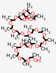 CC(O)COC(C)COC(C)COC(C)COC(C)COC(C)COC(C)COC(C)COC(C)COC(C)COC(C)COC(C)COC(C)COC(C)COC(C)COC(C)COC(C)COC(C)CO